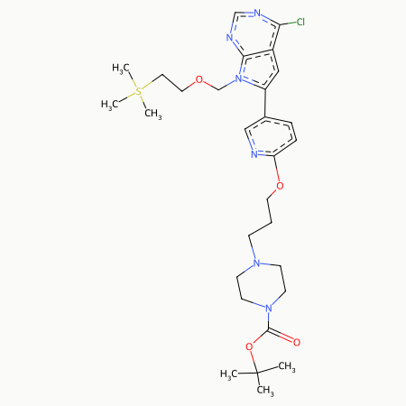 CC(C)(C)OC(=O)N1CCN(CCCOc2ccc(-c3cc4c(Cl)ncnc4n3COCCS(C)(C)C)cn2)CC1